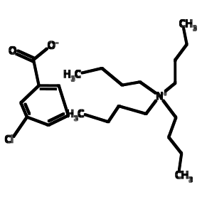 CCCC[N+](CCCC)(CCCC)CCCC.O=C([O-])c1cccc(Cl)c1